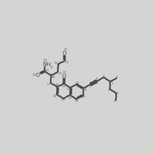 CCCC(C)CC#Cc1ccc2c(c1)C(=O)C(CC(CCC=O)C(N)=O)=CC2